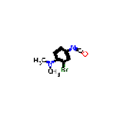 CN(C)c1ccc(N=C=O)cc1Br